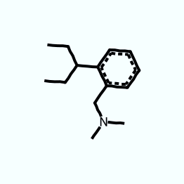 CCC(CC)c1ccccc1CN(C)C